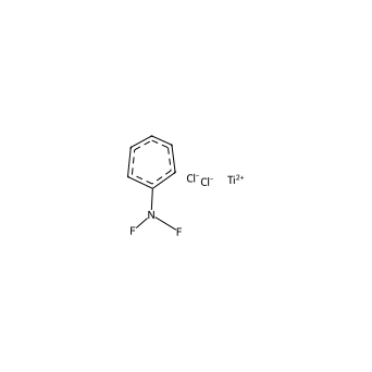 FN(F)c1ccccc1.[Cl-].[Cl-].[Ti+2]